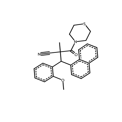 COc1ccccc1C(c1cccc2ccccc12)C(C)(C#N)C(=O)N1CCSCC1